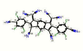 N#CC(C#N)=C1C(c2cc(F)c(C#N)c(F)c2F)=C(C#N)c2c1cc1c(c2F)C(C#N)=C(c2cc(F)c(C#N)c(F)c2F)C1=C(C#N)C#N